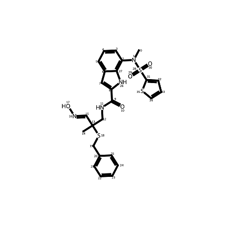 CN(c1cccc2cc(C(=O)NCC(C)(C=NO)SCc3ccccc3)[nH]c12)S(=O)(=O)c1cccs1